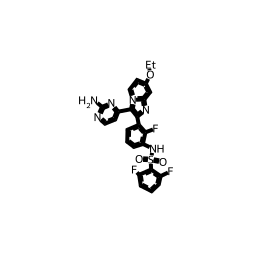 CCOc1ccn2c(-c3ccnc(N)n3)c(-c3cccc(NS(=O)(=O)c4c(F)cccc4F)c3F)nc2c1